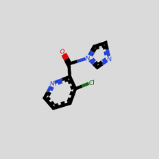 O=C(c1ncccc1Cl)n1ccnc1